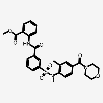 COC(=O)c1ccccc1NC(=O)c1cccc(S(=O)(=O)Nc2ccc(C(=O)N3CCOCC3)cc2C)c1